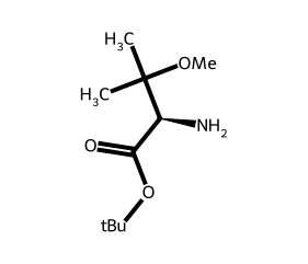 COC(C)(C)[C@@H](N)C(=O)OC(C)(C)C